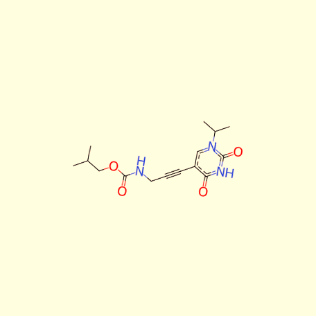 CC(C)COC(=O)NCC#Cc1cn(C(C)C)c(=O)[nH]c1=O